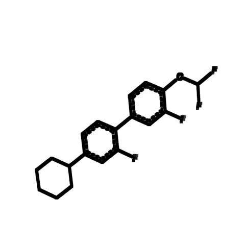 Fc1cc(-c2ccc(C3CCCCC3)cc2F)ccc1OC(F)F